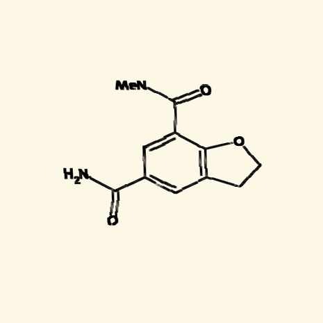 CNC(=O)c1cc(C(N)=O)cc2c1OCC2